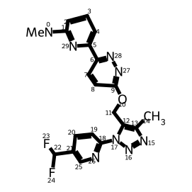 CNc1cccc(-c2ccc(OCc3c(C)nnn3-c3ccc(C(F)F)cn3)nn2)n1